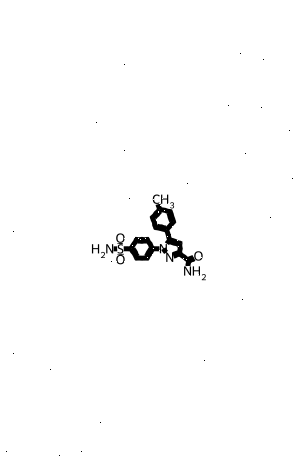 Cc1ccc(-c2cc(C(N)=O)nn2-c2ccc(S(N)(=O)=O)cc2)cc1